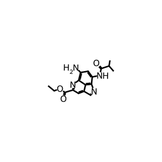 CCOC(=O)c1cc2c3c(c(NC(=O)C(C)C)cc(N)c3n1)N=C2